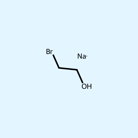 OCCBr.[Na]